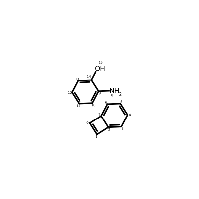 C1=Cc2ccccc21.Nc1ccccc1O